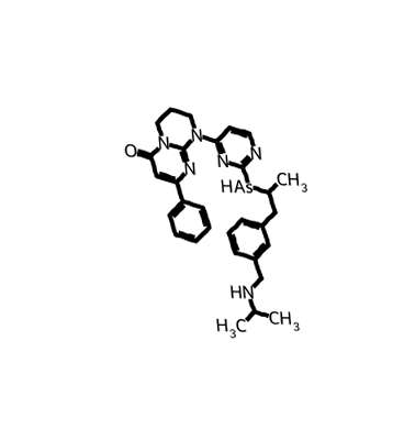 CC(C)NCc1cccc(CC(C)[AsH]c2nccc(N3CCCn4c3nc(-c3ccccc3)cc4=O)n2)c1